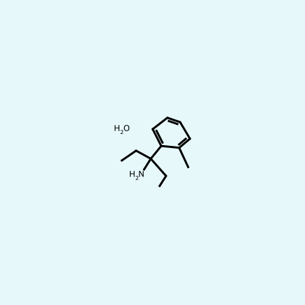 CCC(N)(CC)c1ccccc1C.O